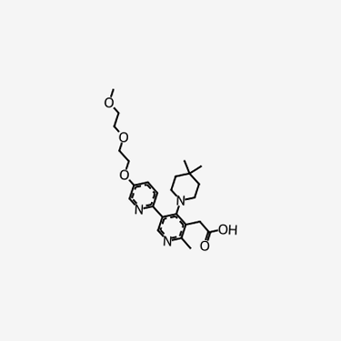 COCCOCCOc1ccc(-c2cnc(C)c(CC(=O)O)c2N2CCC(C)(C)CC2)nc1